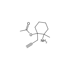 C#CCC1(OC(C)=O)CCCCC1(C)N